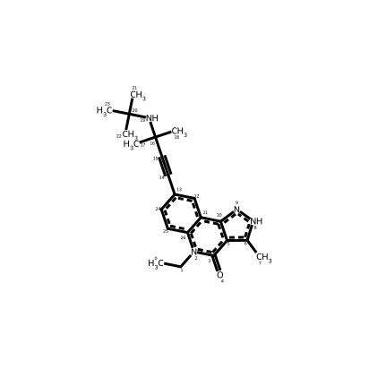 CCn1c(=O)c2c(C)[nH]nc2c2cc(C#CC(C)(C)NC(C)(C)C)ccc21